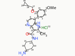 COc1ccc(-c2ccnc3c(C(=O)N[C@H]4CC[C@@H](N)CC4)c(C)[nH]c23)c(OCC2CC2)c1.Cl